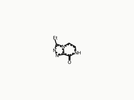 CCc1nnc2c(=O)[nH]ccn12